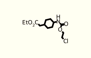 CCOC(=O)CC1CCC(NC(=O)OCCCl)CC1